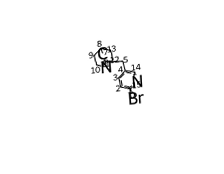 Brc1ccc(CC2CC3CCN2CC3)cn1